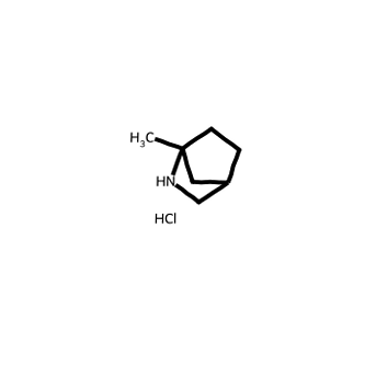 CC12CCC(CN1)C2.Cl